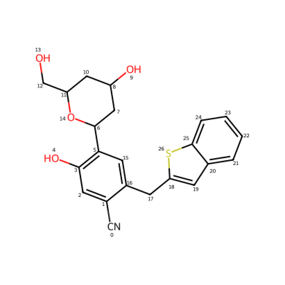 N#Cc1cc(O)c(C2CC(O)CC(CO)O2)cc1Cc1cc2ccccc2s1